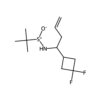 C=CCC(N[S+]([O-])C(C)(C)C)C1CC(F)(F)C1